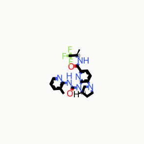 Cc1cccnc1NC(=O)N1c2nc(C(=O)N[C@H](C)C(F)(F)F)ccc2N2CC[C@H]1C2